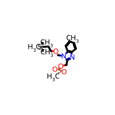 Cc1ccc2nc(COS(C)(=O)=O)n(COCC[Si](C)(C)C)c2c1